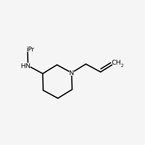 C=CCN1CCCC(NC(C)C)C1